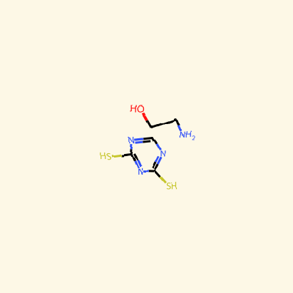 NCCO.Sc1ncnc(S)n1